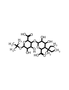 CCC(C)(CC)C1C(C(=O)O)OC(OC2C(C(=O)O)OC(OC(C)(C)C)C(O)C2O)C(O)C1O